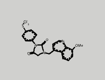 COc1cccc2c(CN3CC(=O)N(c4ccc(SC(F)(F)F)cc4)C3=O)ccnc12